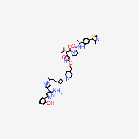 Cc1ncsc1-c1ccc([C@H](C)NC(=O)[C@@H]2CCCN2C(=O)[C@H](c2cc(OCCC3CCN(C[C@H]4C[C@H](CCC(C)n5cc(-c6cc(-c7ccccc7O)nnc6N)cn5)C4)CC3)no2)C(C)C)cc1